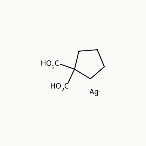 O=C(O)C1(C(=O)O)CCCC1.[Ag]